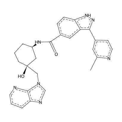 Cc1cc(-c2n[nH]c3ccc(C(=O)N[C@@H]4CCC[C@@](O)(Cn5cnc6cccnc65)C4)cc23)ccn1